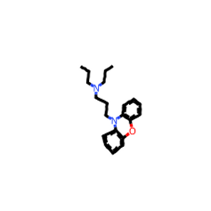 CCCN(CCC)CCCN1c2ccccc2Oc2ccccc21